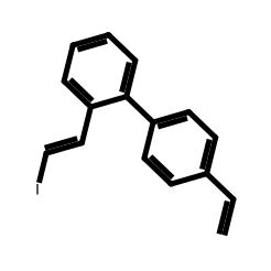 C=Cc1ccc(-c2ccccc2C=CI)cc1